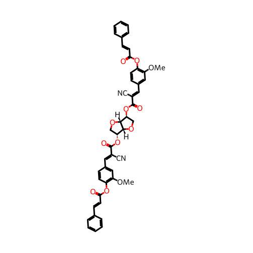 COc1cc(/C=C(\C#N)C(=O)O[C@H]2CO[C@H]3[C@@H]2OC[C@H]3OC(=O)/C(C#N)=C/c2ccc(OC(=O)/C=C/c3ccccc3)c(OC)c2)ccc1OC(=O)/C=C/c1ccccc1